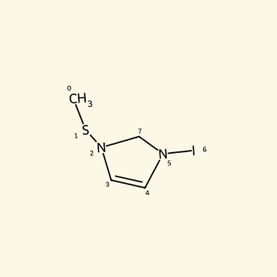 CSN1C=CN(I)C1